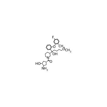 COCCCCC(O)(c1ccccc1Oc1cc(F)ccc1C)[C@@H]1CCCN(C(=O)[C@H]2C[C@@H](N)[C@@H](O)C2)C1